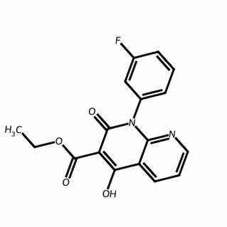 CCOC(=O)c1c(O)c2cccnc2n(-c2cccc(F)c2)c1=O